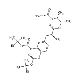 CCCCCC(=O)OC(C)[C@H](C)OC(=O)[C@@H](N)Cc1ccc(OC(=O)OC(C)(C)CC)c(OC(=O)OC(C)(C)CC)c1